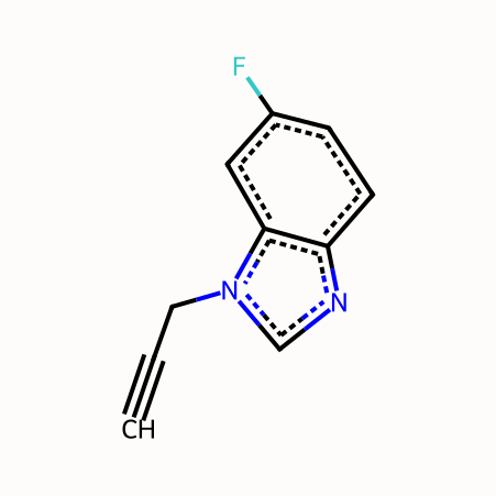 C#CCn1cnc2ccc(F)cc21